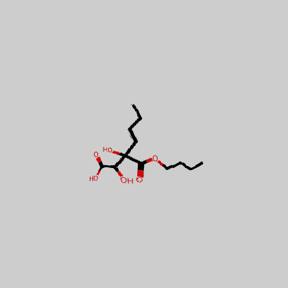 CCCCOC(=O)C(O)(CCCC)C(O)C(=O)O